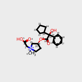 C[N+]1(CC(=O)O)CC[C@H](OC(=O)C(O)(c2ccccc2)C2CCCC2)C1